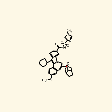 COc1ccc2c(c1)C=C(C(=O)N1C3CCC1CN(C)C3)Cn1c-2c(C2CCCCC2)c2ccc(C(=O)NS(=O)(=O)C3CN(C)C=N3)cc21